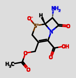 CC(=O)OCC1=C(C(=O)O)N2C(=O)[C@@H](N)[C@H]2[S+]([O-])C1